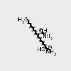 CCCCCCCCCCCCCCCCC(O)C(N)=O.NCCO